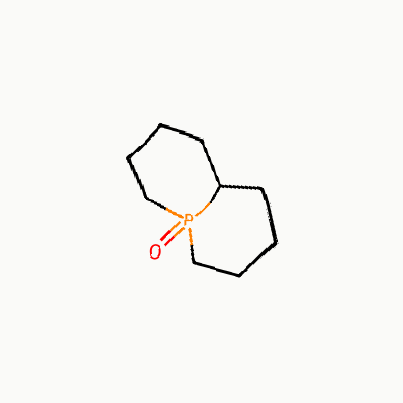 O=P12CCCCC1CCCC2